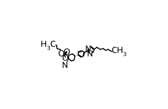 CCCCCCCc1cnc(-c2ccc([C@H]3CC[C@@](C#N)(OC(=O)OCCCC)CC3)cc2)nc1